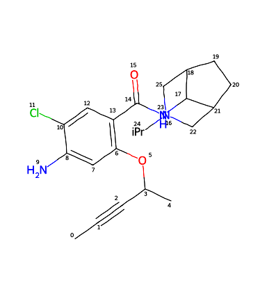 CC#CC(C)Oc1cc(N)c(Cl)cc1C(=O)NC1C2CCC1CN(C(C)C)C2